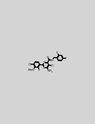 COc1c(Cl)ccc(-c2nc(N)c(Cl)c(C(=O)OCc3ccc(F)cc3F)n2)c1F